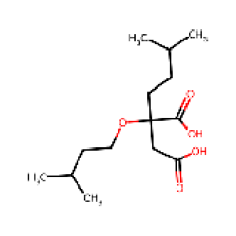 CC(C)CCOC(CCC(C)C)(CC(=O)O)C(=O)O